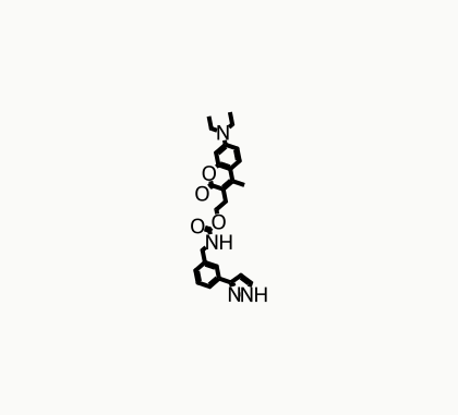 CCN(CC)c1ccc2c(C)c(CCOC(=O)NCc3cccc(-c4cc[nH]n4)c3)c(=O)oc2c1